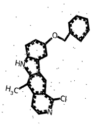 Cc1c2ccnc(Cl)c2cc2c1[nH]c1ccc(OCc3ccccc3)cc12